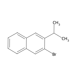 CC(C)c1cc2ccccc2cc1Br